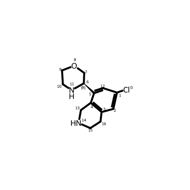 Clc1cc2c(c([C@@H]3COCCN3)c1)CNCC2